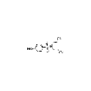 N#CCCN(CCC#N)S(=O)(=O)c1ccc(O)cc1